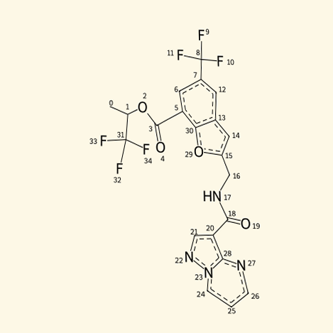 CC(OC(=O)c1cc(C(F)(F)F)cc2cc(CNC(=O)c3cnn4cccnc34)oc12)C(F)(F)F